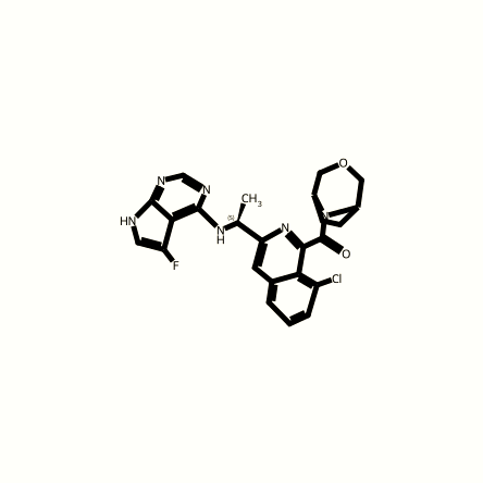 C[C@H](Nc1ncnc2[nH]cc(F)c12)c1cc2cccc(Cl)c2c(C(=O)N2C3CCC2COC3)n1